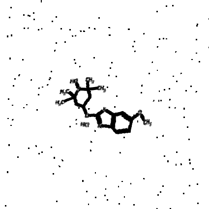 COc1ccc2nc(OC3CC(C)(C)N(O)C(C)(C)C3)sc2c1.Cl